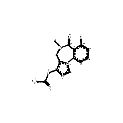 CN1Cc2c(OC(N)=O)ncn2-c2cccc(F)c2C1=O